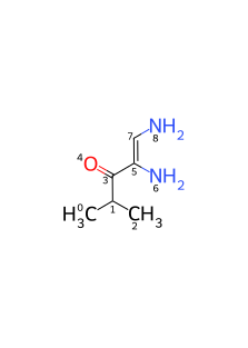 CC(C)C(=O)/C(N)=C/N